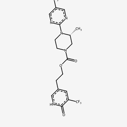 C[C@@H]1CN(C(=O)OCCc2c[nH]c(=O)c(C(F)(F)F)c2)CCN1c1ncc(C(F)(F)F)cn1